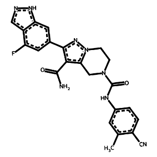 Cc1cc(NC(=O)N2CCn3nc(-c4cc(F)c5cn[nH]c5c4)c(C(N)=O)c3C2)ccc1C#N